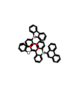 c1ccc2oc3c(-c4ccccc4N(c4cccc(-c5ccccc5-n5c6ccccc6c6ccccc65)c4)c4cc5ccccc5c5ccccc45)cccc3c2c#1